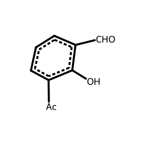 CC(=O)c1cccc(C=O)c1O